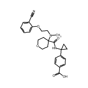 CN(CCOc1ccccc1C#N)C1(C(=O)NC2(c3ccc(C(=O)O)cc3)CC2)CCOCC1